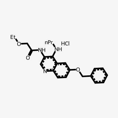 CCCNc1c(NC(=O)COCC)cnc2ccc(OCc3ccccc3)cc12.Cl